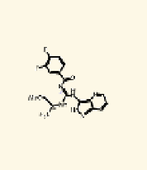 COC[C@H](C)N/C(=N/C(=O)c1ccc(F)c(F)c1)Nc1[nH]nc2cccnc12